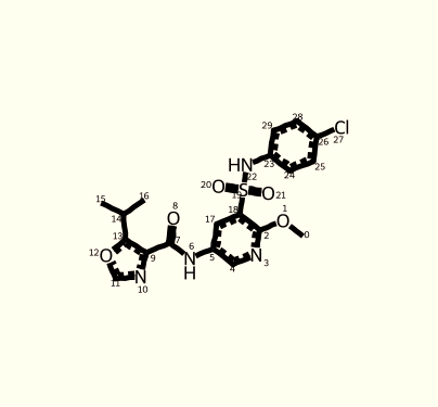 COc1ncc(NC(=O)c2ncoc2C(C)C)cc1S(=O)(=O)Nc1ccc(Cl)cc1